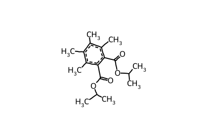 Cc1c(C)c(C)c(C(=O)OC(C)C)c(C(=O)OC(C)C)c1C